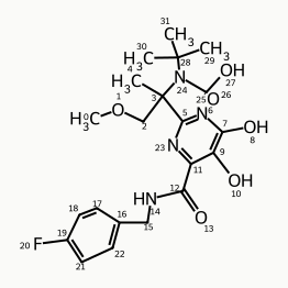 COCC(C)(c1nc(O)c(O)c(C(=O)NCc2ccc(F)cc2)n1)N(C(=O)O)C(C)(C)C